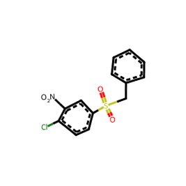 O=[N+]([O-])c1cc(S(=O)(=O)Cc2ccccc2)ccc1Cl